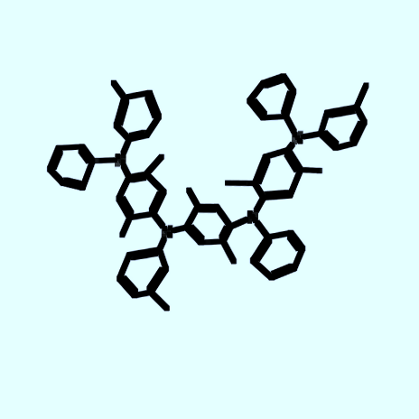 Cc1cccc(N(c2ccccc2)c2cc(C)c(N(c3ccccc3)c3cc(C)c(N(c4cccc(C)c4)c4cc(C)c(N(c5ccccc5)c5cccc(C)c5)cc4C)cc3C)cc2C)c1